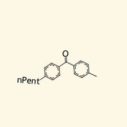 CCCCCc1ccc(C(=O)c2ccc(C)cc2)cc1